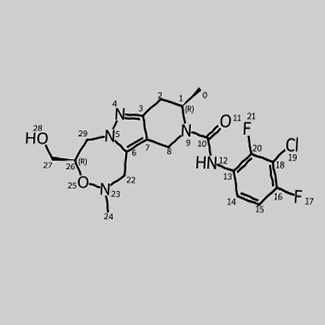 C[C@@H]1Cc2nn3c(c2CN1C(=O)Nc1ccc(F)c(Cl)c1F)CN(C)O[C@@H](CO)C3